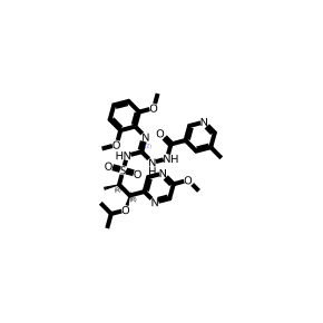 COc1cnc([C@@H](OC(C)C)[C@@H](C)S(=O)(=O)N/C(=N\c2c(OC)cccc2OC)NNC(=O)c2cncc(C)c2)cn1